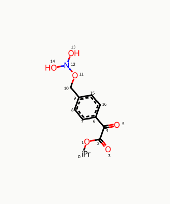 CC(C)OC(=O)C(=O)c1ccc(CON(O)O)cc1